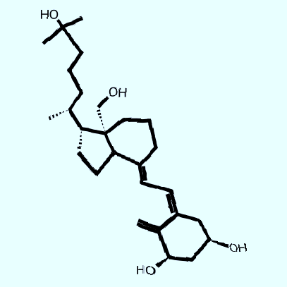 C=C1/C(=C\C=C2CCC[C@@]3(CO)C2CC[C@@H]3[C@H](C)CCCC(C)(C)O)C[C@@H](O)C[C@H]1O